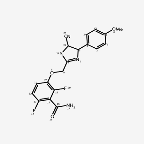 COc1ccc(C2N=C(COc3ccc(F)c(C(N)=O)c3F)SC2C#N)cc1